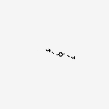 C=C(C)C(=O)OCCSCc1ccc(CSCCOC(=O)CCC(=O)O)cc1